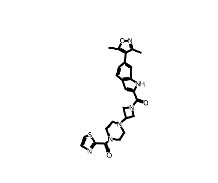 Cc1noc(C)c1-c1ccc2cc(C(=O)N3CC(N4CCN(C(=O)c5nccs5)CC4)C3)[nH]c2c1